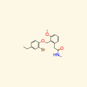 CCc1ccc(OCc2c(CC(=O)NC)cccc2OC)c(Br)c1